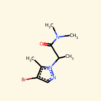 Cc1c(Br)cnn1C(C)C(=O)N(C)C